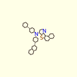 c1ccc(-c2ccc(N(c3ccc(-c4ccc5ccccc5c4)cc3)c3ccnc4c3sc3ccc5ccccc5c34)cc2)cc1